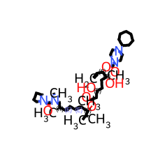 C=C[C@H](OC(=O)N1CCN(C2CCCCCC2)CC1)[C@](C)(O)CC[C@@H](O)CC(=O)O[C@H](/C(C)=C/C=C/[C@@H](C)CN(C)C(=O)N1CCCC1)C(C)C